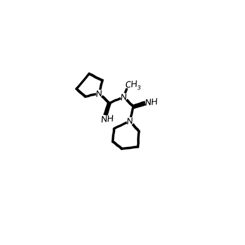 CN(C(=N)N1CCCCC1)C(=N)N1CCCC1